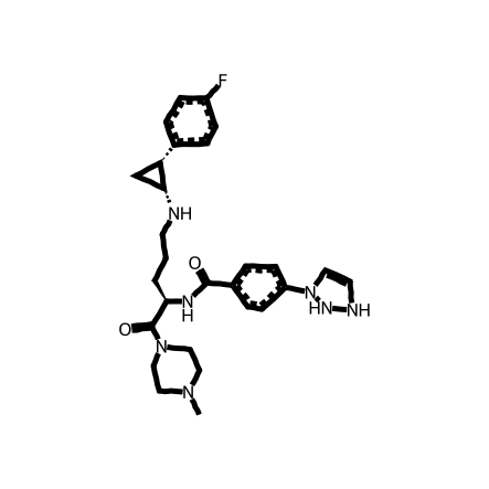 CN1CCN(C(=O)[C@@H](CCCN[C@@H]2C[C@@H]2c2ccc(F)cc2)NC(=O)c2ccc(N3C=CNN3)cc2)CC1